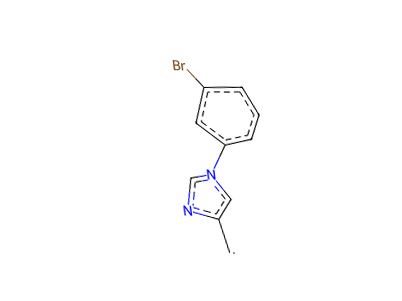 [CH2]c1cn(-c2cccc(Br)c2)cn1